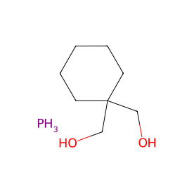 OCC1(CO)CCCCC1.P